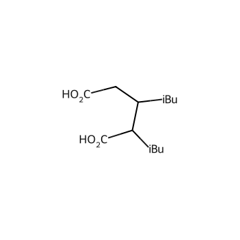 CCC(C)C(CC(=O)O)C(C(=O)O)C(C)CC